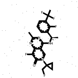 Cc1nc(N[C@H](C)c2cccc(C(C)(F)F)c2F)c2cn(C3(CF)CC3)c(=O)c(F)c2n1